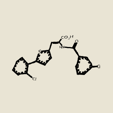 O=C(O)/C(=C/c1ccc(-c2ccccc2Cl)s1)NC(=O)c1cccc(Cl)c1